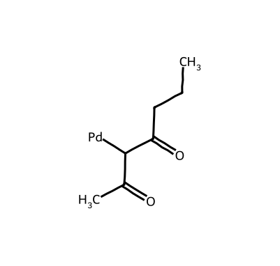 CCCC(=O)[CH]([Pd])C(C)=O